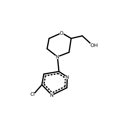 OCC1CN(c2cc(Cl)ncn2)CCO1